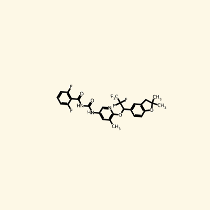 Cc1cc(NC(=O)NC(=O)c2c(F)cccc2F)cnc1OC(c1ccc2c(c1)CC(C)(C)O2)C(F)(F)C(F)(F)F